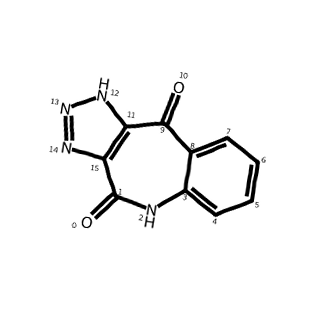 O=c1[nH]c2ccccc2c(=O)c2[nH]nnc12